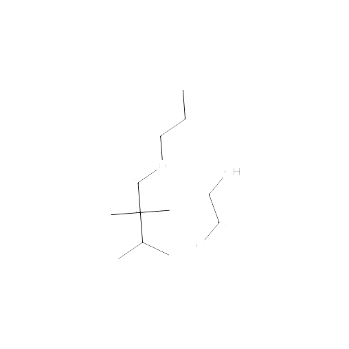 CCCOCC(C)(C)C(C)C.OCCO